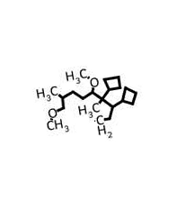 [CH2]CC(C1CCC1)C(C)(C1CCC1)C(CCC(C)COC)OC